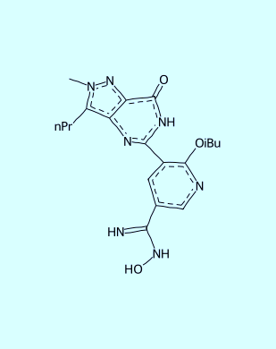 CCCc1c2nc(-c3cc(C(=N)NO)cnc3OCC(C)C)[nH]c(=O)c2nn1C